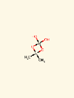 C[Si]1(C)O[Si](O)(O)O1